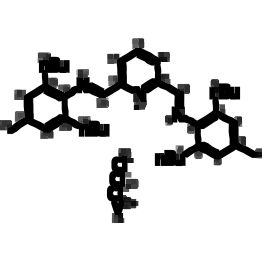 CCCCc1cc(C)cc(CCCC)c1N=Cc1cccc(C=Nc2c(CCCC)cc(C)cc2CCCC)n1.[Cl-].[Cl-].[Cl-].[V+3]